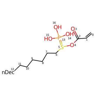 C=CC(=O)OS(CCCCCCCCCCCCCCCC)=P(O)(O)O